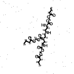 CCCC(=O)OCOC(=O)NCCNCCN(CCNC(=O)OCOC(=O)CCC)C(=O)OCOC(=O)CCC